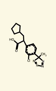 CC1(c2ccc(C(CC3CCCC3)C(=O)O)cc2Cl)N=NN=N1